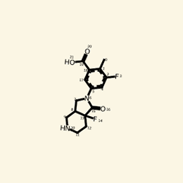 Cc1c(F)cc(N2CC3CNCCC3(F)C2=O)cc1C(=O)O